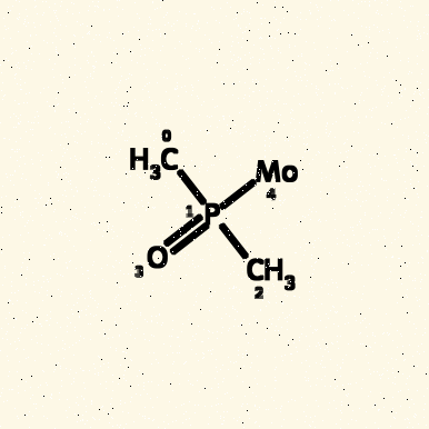 C[P](C)(=O)[Mo]